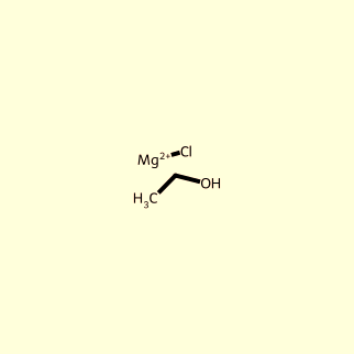 CCO.[Mg+2][Cl]